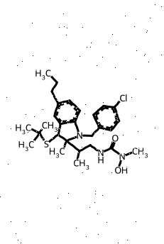 CCCc1ccc2c(c1)C(SC(C)(C)C)C(C)(C(C)CNC(=O)N(C)O)N2Cc1ccc(Cl)cc1